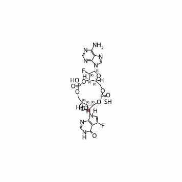 Nc1ncnc2c1ncn2[C@@H]1O[C@@H]2COP(=O)(S)O[C@@H]3[C@H](O)[C@@H](COP(=O)(O)O[C@H]2[C@H]1F)O[C@H]3n1cc(F)c2c(=O)[nH]cnc21